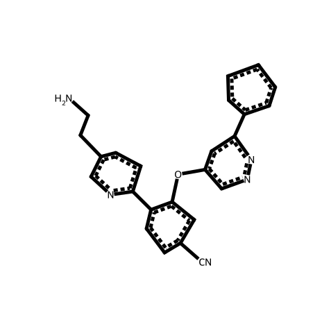 N#Cc1ccc(-c2ccc(CCN)cn2)c(Oc2cnnc(-c3ccccc3)c2)c1